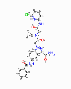 NC(=O)c1nn(CC(=O)N(CC(=O)Nc2cccc(Cl)n2)C2CC2)c2ccc(NC(=O)c3ccccc3)cc12